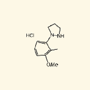 COc1cccc(N2CCCN2)c1C.Cl